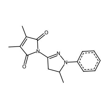 CC1=C(C)C(=O)N(C2=NN(c3ccccc3)C(C)C2)C1=O